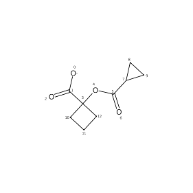 [O]C(=O)C1(OC(=O)C2CC2)CCC1